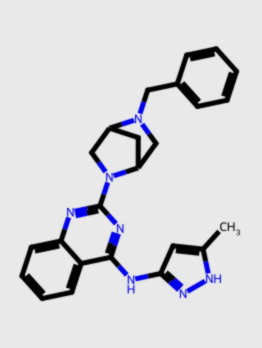 Cc1cc(Nc2nc(N3CC4CC3CN4Cc3ccccc3)nc3ccccc23)n[nH]1